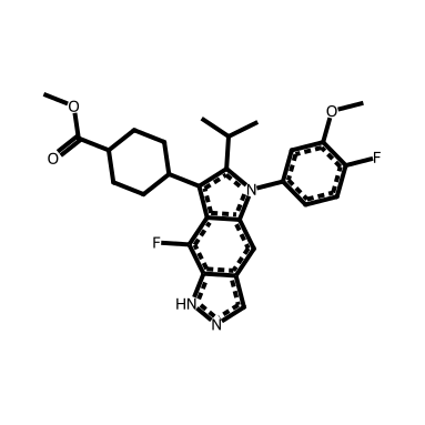 COC(=O)C1CCC(c2c(C(C)C)n(-c3ccc(F)c(OC)c3)c3cc4cn[nH]c4c(F)c23)CC1